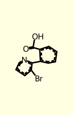 O=C(O)c1ccccc1-c1ncccc1Br